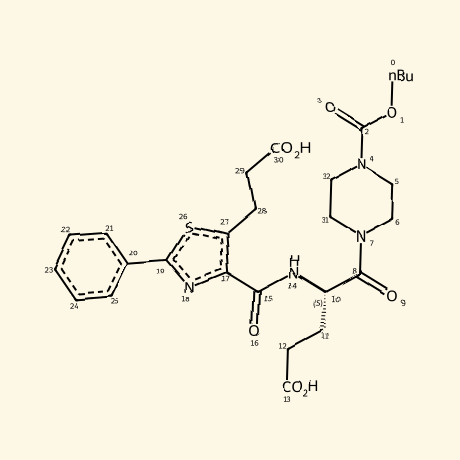 CCCCOC(=O)N1CCN(C(=O)[C@H](CCC(=O)O)NC(=O)c2nc(-c3ccccc3)sc2CCC(=O)O)CC1